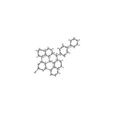 Fc1cc2c3c(c1)-c1cccc4ccc5c(c14)N3c1c(ccc3cccc-2c13)B5c1cnc(-c2ccccc2)nc1